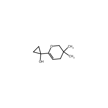 CC1(C)CC=C(C2(O)CC2)OC1